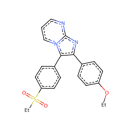 CCOc1ccc(-c2nc3ncccn3c2-c2ccc(S(=O)(=O)CC)cc2)cc1